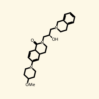 COC1CCN(C2=CC3CCN(C[C@H](O)CN4CCc5ccccc5C4)C(=O)C3C=C2)CC1